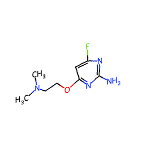 CN(C)CCOc1cc(F)nc(N)n1